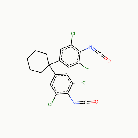 O=C=Nc1c(Cl)cc(C2(c3cc(Cl)c(N=C=O)c(Cl)c3)CCCCC2)cc1Cl